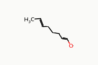 CC=CCCCC=C[O]